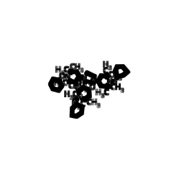 CC1(C)CC(O[N+]2(C3CC(C)(C)N(OC4CCCCC4)C(C)(C)C3)CCN(C3CC(C)(C)N(OC4CCCCC4)C(C)(C)C3)P2)CC(C)(C)N1OC1CCCCC1